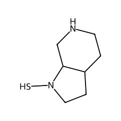 SN1CCC2CCNCC21